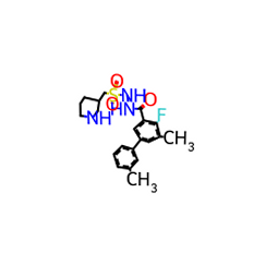 Cc1cccc(-c2cc(C)c(F)c(C(=O)NNS(=O)(=O)CC3CCCNC3)c2)c1